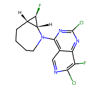 Fc1c(Cl)ncc2c(N3CCCC[C@@H]4[C@@H](F)[C@@H]43)nc(Cl)nc12